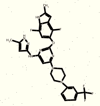 Cc1cc(Nc2cc(N3CCN(c4cccc(C(F)(F)F)c4)CC3)nc(Oc3cc(F)c4[nH]c(C)cc4c3F)n2)n[nH]1